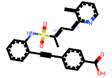 C=c1cccn/c1=C/C=C(\C)S(=O)(=O)Nc1ccccc1C#Cc1ccc(C(=O)O)cc1